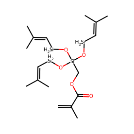 C=C(C)C(=O)OC[Si](O[SiH2]C=C(C)C)(O[SiH2]C=C(C)C)O[SiH2]C=C(C)C